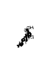 Cc1c(Cc2ccc(-c3ccn(C(C)C)n3)cc2)c(OC(F)F)nc2c(Cl)ccc(OCC(=O)O)c12